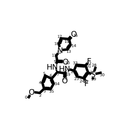 COCc1ccc([C@@H](NC(=O)Cn2ccc(=O)cc2)C(=O)Nc2cc(F)c(S(C)(C)C)c(F)c2)cc1